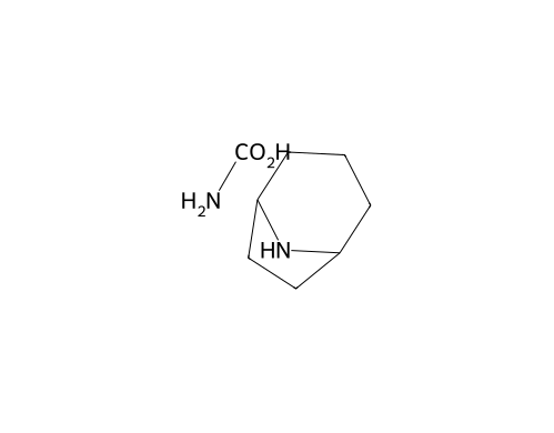 C1CC2CCC(C1)N2.NC(=O)O